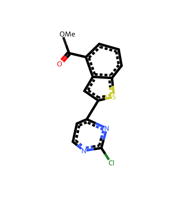 COC(=O)c1cccc2sc(-c3ccnc(Cl)n3)cc12